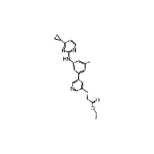 CCOC(=O)CCc1cncc(-c2cc(C)cc(Nc3nccc(C4CC4)n3)c2)c1